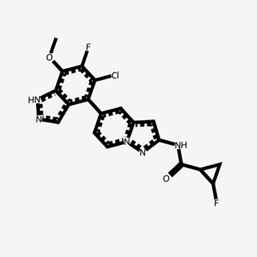 COc1c(F)c(Cl)c(-c2ccn3nc(NC(=O)C4CC4F)cc3c2)c2cn[nH]c12